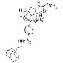 C=CC(=O)NC1CC(C)(C)N(S(=O)(=O)c2ccc(C(=O)NCCC34CC5CC(CC(C5)C3)C4)cc2)C1(C)C